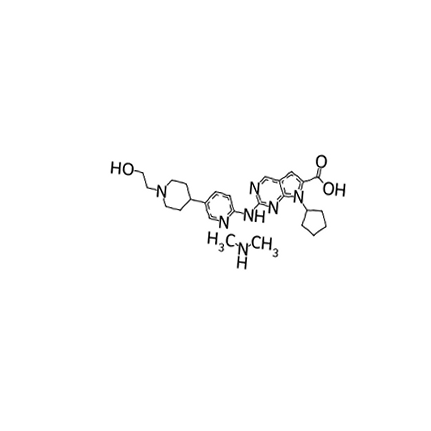 CNC.O=C(O)c1cc2cnc(Nc3ccc(C4CCN(CCO)CC4)cn3)nc2n1C1CCCC1